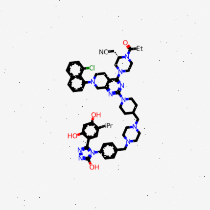 CCC(=O)N1CCN(c2nc(N3CCC(CN4CCN(Cc5ccc(-n6c(O)nnc6-c6cc(C(C)C)c(O)cc6O)cc5)CC4)CC3)nc3c2CCN(c2cccc4cccc(Cl)c24)C3)C[C@@H]1CC#N